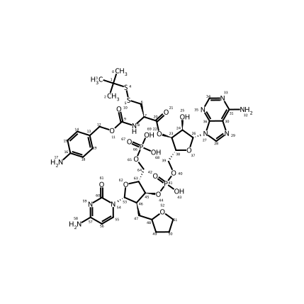 CC(C)(C)SSC[C@H](NC(=O)OCc1ccc(N)cc1)C(=O)O[C@H]1[C@@H](O)[C@H](n2cnc3c(N)ncnc32)O[C@@H]1COP(=O)(O)O[C@H]1[C@@H](CC2CCCO2)[C@H](n2ccc(N)nc2=O)O[C@@H]1COP(=O)(O)O